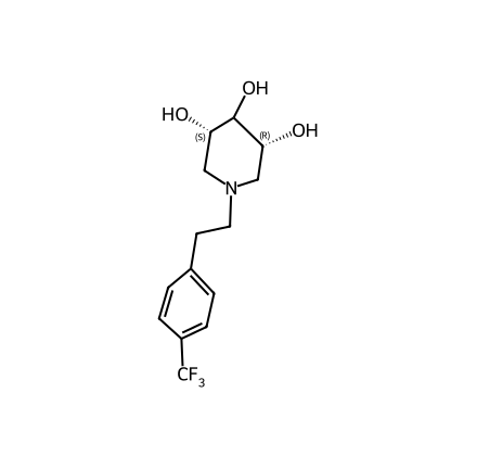 OC1[C@H](O)CN(CCc2ccc(C(F)(F)F)cc2)C[C@@H]1O